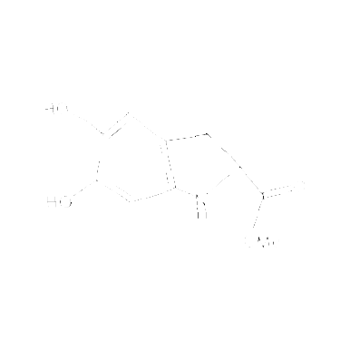 COC(=O)[C@]1(C)Cc2cc(O)c(O)cc2N1